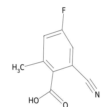 Cc1cc(F)cc(C#N)c1C(=O)O